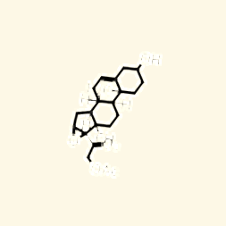 CC(=O)OCC(=O)[C@@]12OC1C[C@H]1[C@@H]3CC=C4CC(O)CC[C@]4(C)[C@H]3CC[C@@]12C